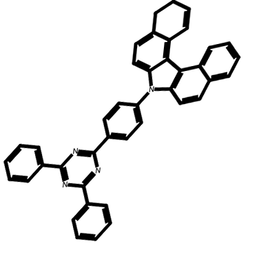 C1=Cc2c(ccc3c2c2c4ccccc4ccc2n3-c2ccc(-c3nc(-c4ccccc4)nc(-c4ccccc4)n3)cc2)CC1